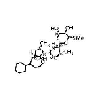 CSC1O[C@H]([C@H](NC(=O)[C@@H]2[C@@H]3OCCC(C4CCCCC4)C[C@H]3CN2C)[C@H](C)Cl)C[C@@H](O)C1O